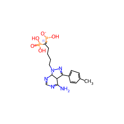 Cc1ccc(C2=NN(CCCC/C(=[P+](/[O-])O)P(=O)(O)O)C3N=CN=C(N)C23)cc1